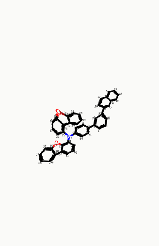 c1cc(-c2ccc(N(c3cccc4c3oc3ccccc34)c3cccc4oc5ccccc5c34)cc2)cc(-c2ccc3ccccc3c2)c1